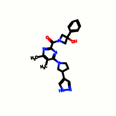 Cc1nc(C(=O)N2CC(O)(c3ccccc3)C2)nc(N2CCC(c3cn[nH]c3)C2)c1C